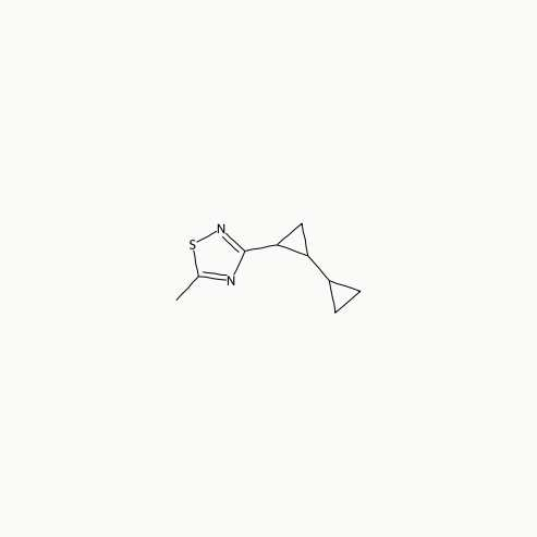 Cc1nc(C2CC2C2CC2)ns1